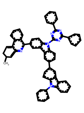 CC1C=c2nc(-c3ccc4c(c3)c3cc(-c5ccc6c(c5)c5ccccc5n6-c5ccccc5)ccc3n4-c3nc(-c4ccccc4)nc(-c4ccccc4)n3)c3ccccc3c2=CC1